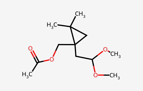 COC(CC1(COC(C)=O)CC1(C)C)OC